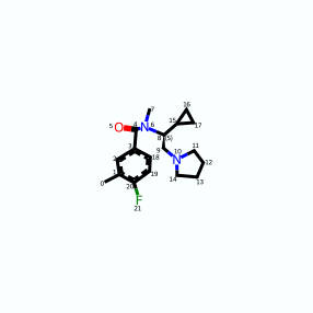 Cc1cc(C(=O)N(C)[C@H](CN2CCCC2)C2CC2)ccc1F